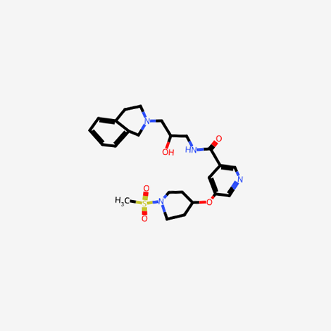 CS(=O)(=O)N1CCC(Oc2cncc(C(=O)NCC(O)CN3CCc4ccccc4C3)c2)CC1